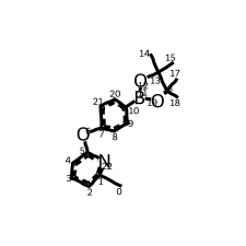 Cc1cccc(Oc2ccc(B3OC(C)(C)C(C)(C)O3)cc2)n1